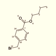 CCCCOC(=O)c1ccc(CBr)cc1